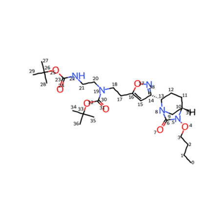 CCCCON1C(=O)N2C[C@@H]1CC[C@H]2c1cc(CCN(CCNC(=O)OC(C)(C)C)C(=O)OC(C)(C)C)on1